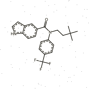 CC(C)(C)CCN(C(=O)c1ccc2[nH]ccc2c1)c1ccc(C(F)(F)F)cc1